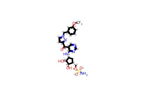 NS(=O)(=O)OC[C@H]1C[C@@H](Nc2ncncc2C(=O)c2ccn(Cc3cccc(OC(F)(F)F)c3)n2)[C@H](O)[C@@H]1O